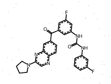 O=C(Nc1cccc(F)c1)Nc1cc(F)cc(C(=O)c2ccc3ncc(N4CCCC4)nc3c2)c1